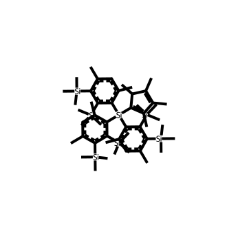 CC1=C(C)C(C)C([Si](c2c(C)cc(C)c([Si](C)(C)C)c2[Si](C)(C)C)(c2c(C)cc(C)c([Si](C)(C)C)c2[Si](C)(C)C)c2c(C)cc(C)c([Si](C)(C)C)c2[Si](C)(C)C)=C1C